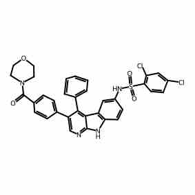 O=C(c1ccc(-c2cnc3[nH]c4ccc(NS(=O)(=O)c5ccc(Cl)cc5Cl)cc4c3c2-c2ccccc2)cc1)N1CCOCC1